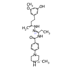 C=C(CCc1cc(O)cc(OC)c1)N/N=C(\CC)NC(=O)c1ccc(N2CCN[C@@H](C)C2)cc1